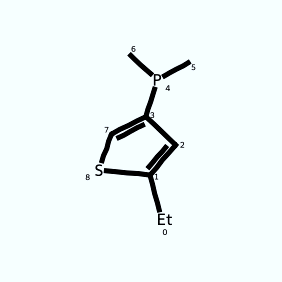 CCc1cc(P(C)C)cs1